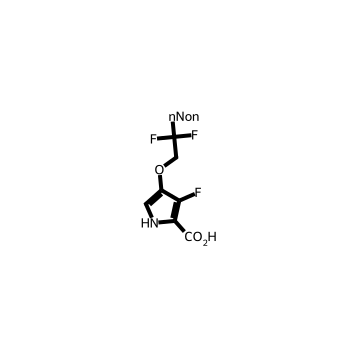 CCCCCCCCCC(F)(F)COc1c[nH]c(C(=O)O)c1F